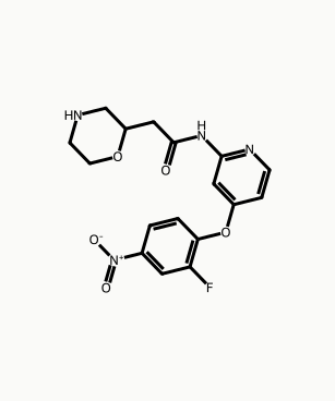 O=C(CC1CNCCO1)Nc1cc(Oc2ccc([N+](=O)[O-])cc2F)ccn1